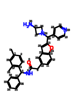 Cc1ccc([C@@H](NC(=O)Cc2ccc3oc(C(c4ccncc4)N4CC(N)C4)cc3c2)c2ccccc2)c(C)c1